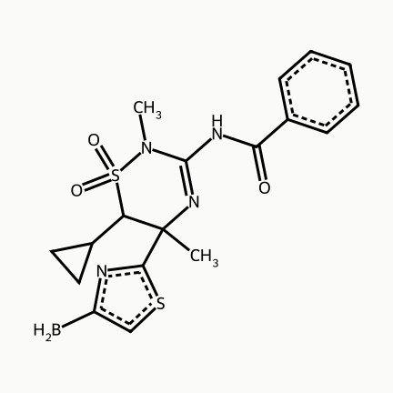 Bc1csc(C2(C)N=C(NC(=O)c3ccccc3)N(C)S(=O)(=O)C2C2CC2)n1